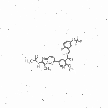 COc1ncc(-c2ccc3nc(NC(C)=O)c(C)n3n2)cc1C(=O)NCc1cc(OC(F)(F)F)ccc1F